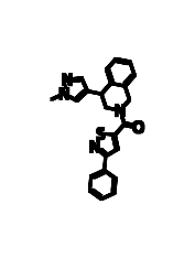 Cn1cc(C2CN(C(=O)c3cc(-c4ccccc4)ns3)Cc3ccccc32)cn1